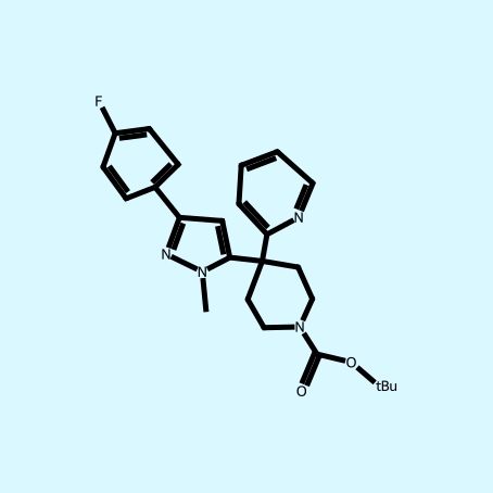 Cn1nc(-c2ccc(F)cc2)cc1C1(c2ccccn2)CCN(C(=O)OC(C)(C)C)CC1